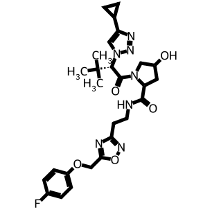 CC(C)(C)[C@@H](C(=O)N1CC(O)CC1C(=O)NCCc1noc(COc2ccc(F)cc2)n1)n1cc(C2CC2)nn1